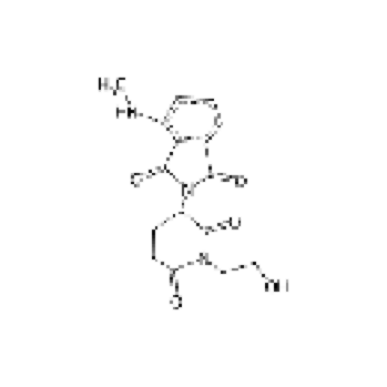 CNc1cccc2c1C(=O)N(C1CCC(=O)N(CCO)C1=O)C2=O